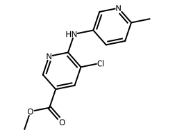 COC(=O)c1cnc(Nc2ccc(C)nc2)c(Cl)c1